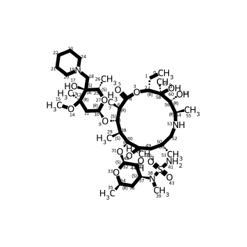 CC[C@H]1OC(=O)[C@H](C)[C@@H](O[C@H]2C[C@@](C)(OC)[C@](O)(CN3CCCCC3)[C@H](C)O2)[C@H](C)[C@@H](O[C@@H]2O[C@H](C)C[C@H](N(C)S(N)(=O)=O)[C@H]2O)[C@](C)(O)C[C@@H](C)CN[C@H](C)[C@@H](O)[C@]1(C)O